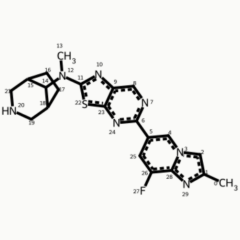 Cc1cn2cc(-c3ncc4nc(N(C)C5C6CCC5CNC6)sc4n3)cc(F)c2n1